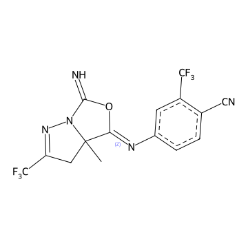 CC12CC(C(F)(F)F)=NN1C(=N)O/C2=N\c1ccc(C#N)c(C(F)(F)F)c1